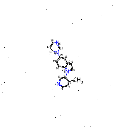 Cc1ccncc1-n1ccc2cc(N3C=NC=CC3)ccc21